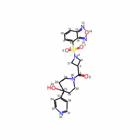 O=C(C1CN(S(=O)(=O)c2cccc3nonc23)C1)N1CCC(O)(c2ccncc2)CC1